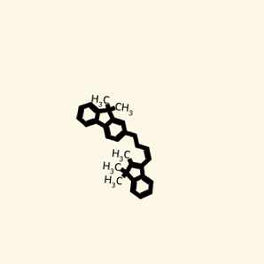 CC1=C(/C=C\CCc2ccc3c(c2)C(C)(C)c2ccccc2-3)c2ccccc2C1(C)C